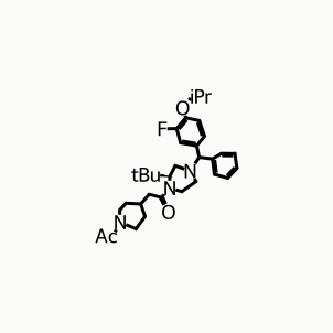 CC(=O)N1CCC(CC(=O)N2CCN(C(c3ccccc3)c3ccc(OC(C)C)c(F)c3)C[C@@H]2C(C)(C)C)CC1